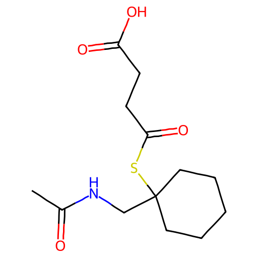 CC(=O)NCC1(SC(=O)CCC(=O)O)CCCCC1